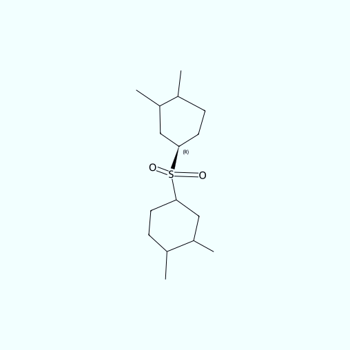 CC1CCC(S(=O)(=O)[C@@H]2CCC(C)C(C)C2)CC1C